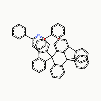 c1ccc(-c2cc(-c3ccccc3C3(c4ccccc4)c4ccccc4C4(c5ccccc5)c5ccccc5-c5cccc3c54)cc(-c3ccccc3)n2)cc1